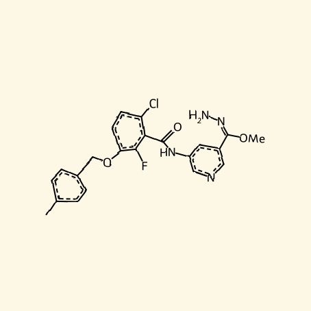 CO/C(=N/N)c1cncc(NC(=O)c2c(Cl)ccc(OCc3ccc(C)cc3)c2F)c1